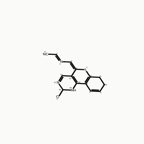 N#C/C=N/C=C1/SC2=C(C=CCC2)C2=C1C=NC(Cl)N2